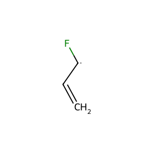 C=C[CH]F